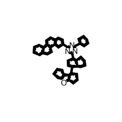 c1ccc(-c2nc(-c3ccc4ccc5c6ccccc6ccc5c4c3)nc(-c3ccc(-c4cccc5oc6ccccc6c45)c4ccccc34)n2)cc1